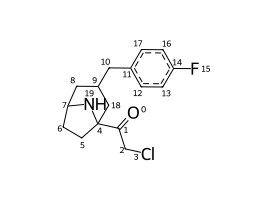 O=C(CCl)C12CCC(CC(Cc3ccc(F)cc3)C1)N2